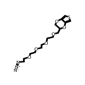 [N-]=[N+]=NCCOCCOCCOCCOCC1COc2cscc2O1